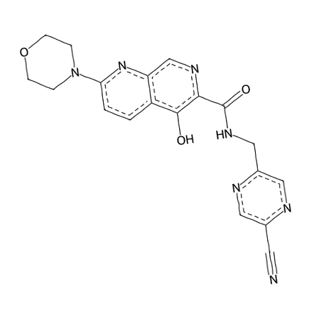 N#Cc1cnc(CNC(=O)c2ncc3nc(N4CCOCC4)ccc3c2O)cn1